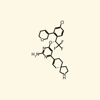 Nc1nc(O[C@H](c2ccc(Cl)cc2C2=CCCOC2)C(F)(F)F)cc(C2=CC[C@@]3(CCNC3)CC2)n1